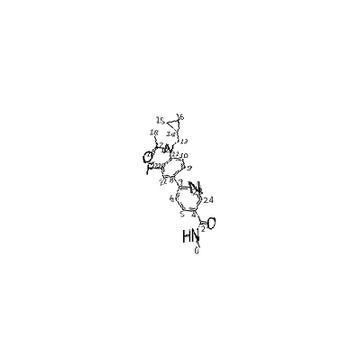 CNC(=O)c1ccc(-c2ccc(N(CC3CC3)C(C)=O)c(F)c2)nc1